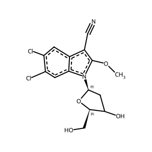 COc1c(C#N)c2cc(Cl)c(Cl)cc2n1[C@H]1CC(O)[C@@H](CO)O1